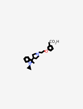 Cc1c(C2CCN(CCCOc3cccc(CC(=O)O)c3)CC2)c2ccccc2n1C1CC1